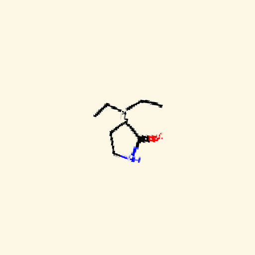 CC[SiH2]CC.O=C1CCCN1